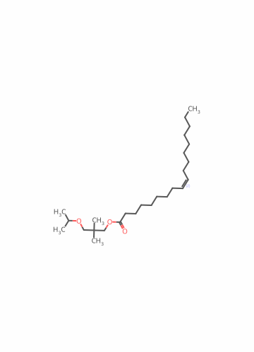 CCCCCCCC/C=C\CCCCCCCC(=O)OCC(C)(C)COC(C)C